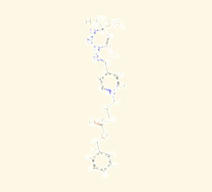 CC1(P)C=C2SC(c3cc[n+](CCCC(=O)OCc4ccccc4)cc3)=NN2N=N1